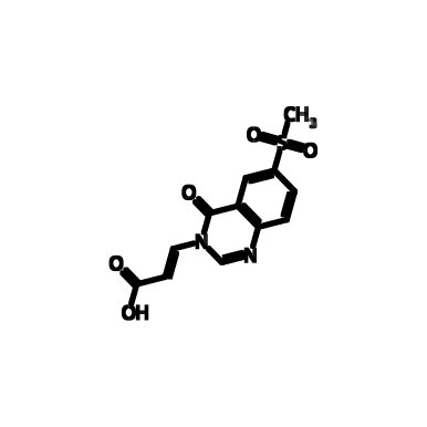 CS(=O)(=O)c1ccc2ncn(C=CC(=O)O)c(=O)c2c1